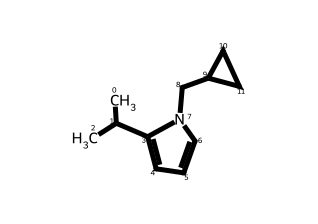 CC(C)c1cccn1CC1CC1